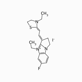 CCN1CCSC1=CC=C1CCn2c1[n+](CC)c1cc(F)ccc12.[I-]